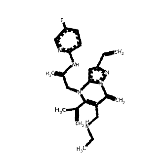 C=Cc1cc2n(n1)C(=C)C(CNCC)=C(C(=C)C)N2CC(=C)Nc1ccc(F)cn1